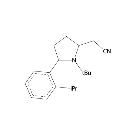 CC(C)c1ccccc1C1CCC(CC#N)N1C(C)(C)C